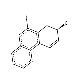 C[C@H]1C=Cc2c(c(I)cc3ccccc23)C1